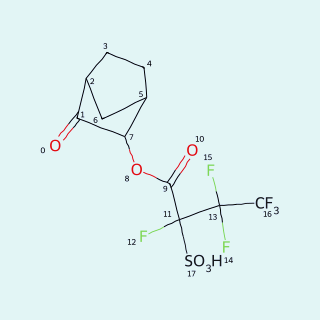 O=C1C2CCC(C2)C1OC(=O)C(F)(C(F)(F)C(F)(F)F)S(=O)(=O)O